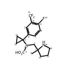 CC1(CN(C(=O)O)C2(c3ccc(F)c(C(F)(F)F)c3)CC2)CCCN1